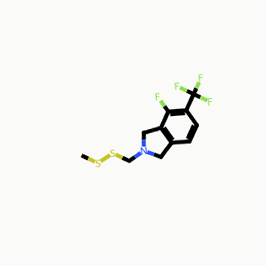 CSSCN1Cc2ccc(C(F)(F)F)c(F)c2C1